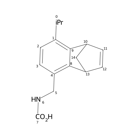 CC(C)c1ccc(CNC(=O)O)c2c1C1C=CC2C1